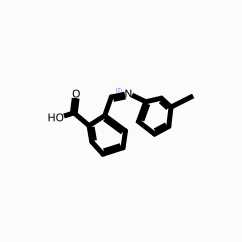 Cc1cccc(/N=C\c2ccccc2C(=O)O)c1